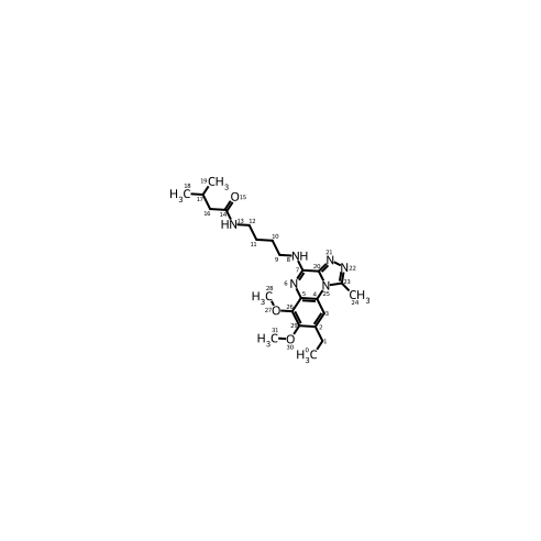 CCc1cc2c(nc(NCCCCNC(=O)CC(C)C)c3nnc(C)n32)c(OC)c1OC